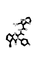 C#Cc1cccc2nc(C(C)NC(=O)c3c(N)nn4cccnc34)n(-c3ccc(F)cc3)c(=O)c12